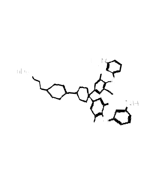 CCCCCCCCCCCCCC1CCC(C2CCC(c3cc(C)c(Oc4cccc(N)c4)c(C)c3)(c3cc(C)c(Oc4cccc(N)c4)c(C)c3)CC2)CC1